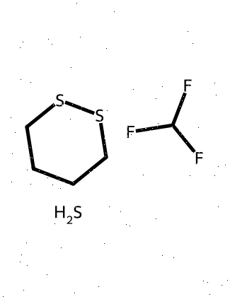 C1CCSSC1.FC(F)F.S